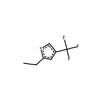 [CH2]Cc1cc(C(F)(F)F)cs1